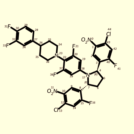 O=[N+]([O-])c1cc([C@H]2CC[C@H](c3cc([N+](=O)[O-])c(Cl)cc3F)N2c2cc(F)c(N3CCC(c4ccc(F)c(F)c4)CC3)c(F)c2)c(F)cc1Cl